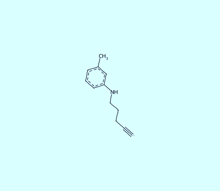 [C]#CCCCNc1cccc(C)c1